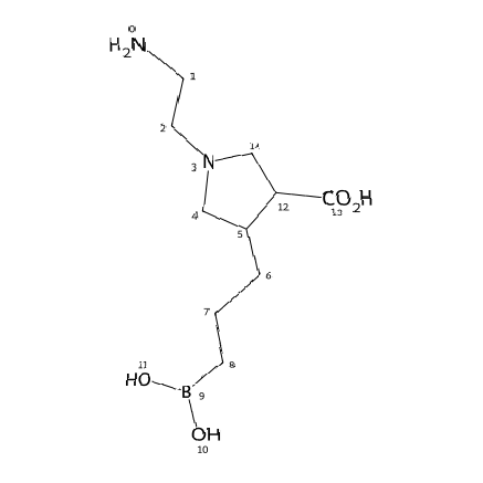 NCCN1CC(CCCB(O)O)C(C(=O)O)C1